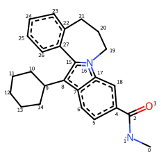 C[N]C(=O)c1ccc2c(C3CCCCC3)c3n(c2c1)CCCc1ccccc1-3